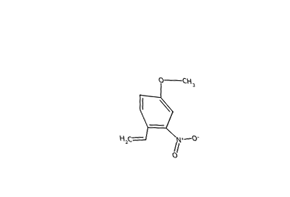 C=Cc1ccc(OC)cc1[N+](=O)[O-]